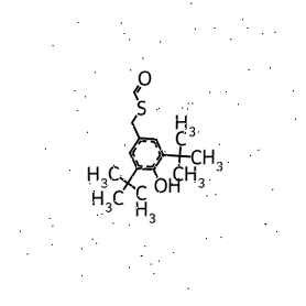 CC(C)(C)c1cc(CSC=O)cc(C(C)(C)C)c1O